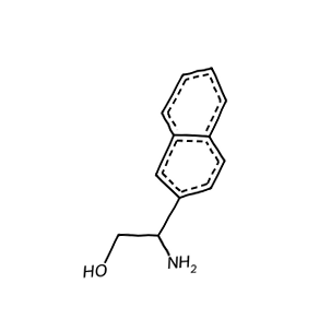 NC(CO)c1ccc2ccccc2c1